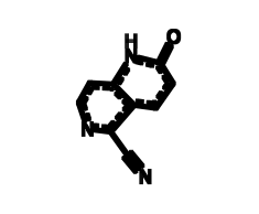 N#Cc1nccc2[nH]c(=O)ccc12